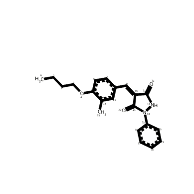 CCCCOc1ccc(C=C2C(=O)NN(c3ccccc3)C2=O)cc1C